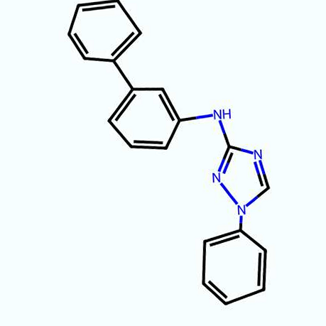 c1ccc(-c2cccc(Nc3ncn(-c4ccccc4)n3)c2)cc1